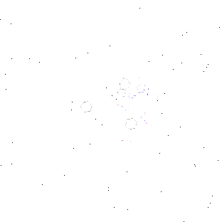 COC(=O)c1cc(CNC(=O)c2[nH]c3c(-c4c(C)nn(C)c4C)cccc3c2CCCOc2cc(C)c(Cl)c(C)c2)cc([N+](=O)[O-])c1